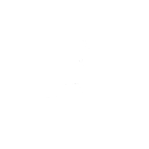 C=COCC(C)CCC